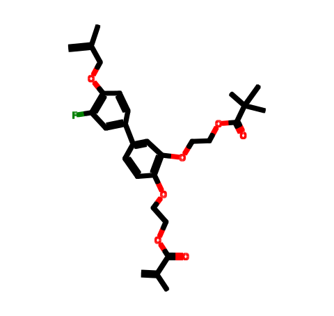 C=C(C)COc1ccc(-c2ccc(OCCOC(=O)C(=C)C)c(OCCOC(=O)C(C)(C)C)c2)cc1F